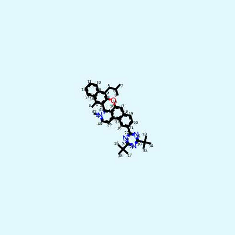 Cc1c2c(c(CC(C)C)c3ccccc13)Oc1cc3ccc(-c4nc(C(C)(C)C)nc(C(C)(C)C)n4)cc3c3cc[n+](C)c-2c13